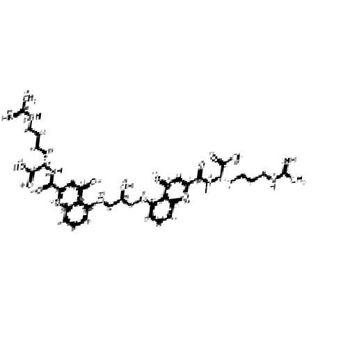 CC(=N)NCCCC[C@H](NC(=O)c1cc(=O)c2c(OCC(O)COc3cccc4oc(C(=O)N[C@@H](CCCCNC(C)=N)C(=O)O)cc(=O)c34)cccc2o1)C(=O)O